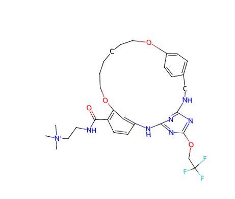 C[N+](C)(C)CCNC(=O)c1ccc2cc1OCCCCCCOc1ccc(cc1)CNc1nc(nc(OCC(F)(F)F)n1)N2